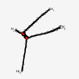 COCCOCCOCCOCCOCCOCCOCCOCCOCCOCCOCCOc1cc(CC2(Cc3cc(OCCOCCOCCOCCOCCOCCOCCOCCOCCOCCOCCOC)cc(OCCOCCOCCOCCOCCOCCOCCOCCOCCOCCOCCOC)c3)c3cc(Br)ccc3-c3ccc(Br)cc32)cc(OCCOCCOC)c1